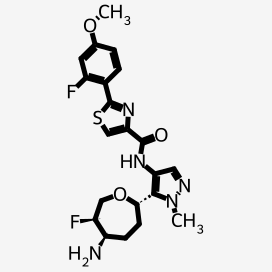 COc1ccc(-c2nc(C(=O)Nc3cnn(C)c3[C@@H]3CC[C@@H](N)[C@@H](F)CO3)cs2)c(F)c1